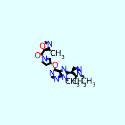 CCn1ncc(-c2nc3c(OC4CCN(C(=O)c5ocnc5C)C4)ncnc3n2C)c1C